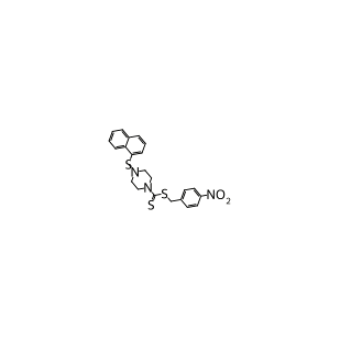 O=[N+]([O-])c1ccc(CSC(=S)N2CCN(Sc3cccc4ccccc34)CC2)cc1